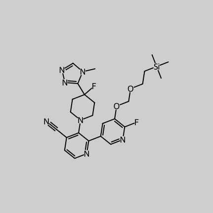 Cn1cnnc1C1(F)CCN(c2c(C#N)ccnc2-c2cnc(F)c(OCOCC[Si](C)(C)C)c2)CC1